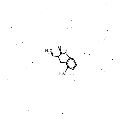 C=CC1Cc2c(C)cccc2NC1=O